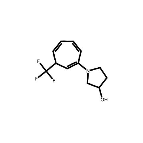 OC1CCN(C2=CC(C(F)(F)F)C=CC=C2)C1